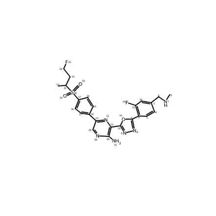 CNCc1ccc(-c2nnc(-c3nc(-c4ccc(S(=O)(=O)C(C)CCF)cc4)cnc3N)o2)c(F)c1